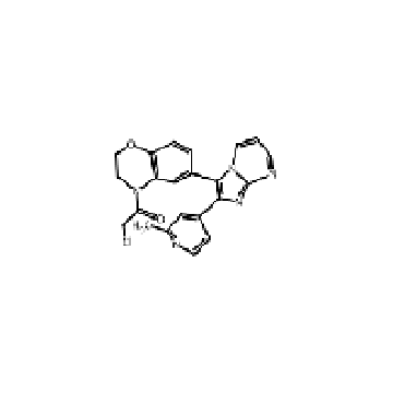 Cc1cc(-c2nc3ncccn3c2-c2ccc3c(c2)N(C(=O)CCl)CCO3)ccn1